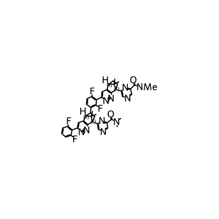 CNC(=O)c1cncc([C@@]23CC[C@@H](c4cc(-c5c(F)ccc(C6C[C@]7(c8cncc(C(=O)N(C)C)n8)c8nnc(-c9c(F)cccc9F)cc8[C@H]6C7(C)C)c5F)nnc42)C3(C)C)n1